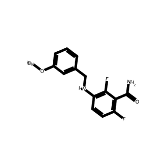 CCC(C)Oc1cccc(CNc2ccc(F)c(C(N)=O)c2F)c1